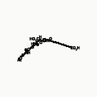 CC(=O)COCCOCCNC(=O)COCCOCCNC(=O)CC[C@H](NC(=O)[C@H]1CC[C@H](CNC(=O)CCCCCCCCCCCCCCCCC(=O)O)CC1)C(=O)O